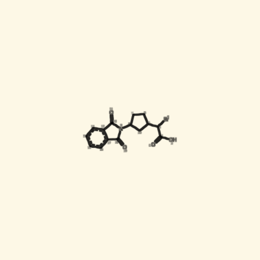 O=C(O)C(Br)C1CCC(N2C(=O)c3ccccc3C2=O)C1